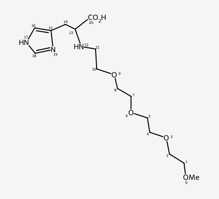 COCCOCCOCCOCCNC(Cc1c[nH]cn1)C(=O)O